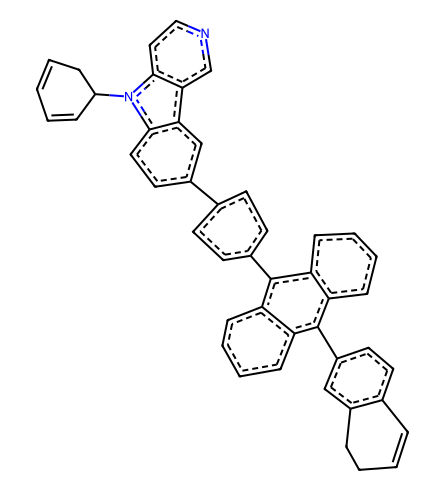 C1=CCC(n2c3ccncc3c3cc(-c4ccc(-c5c6ccccc6c(-c6ccc7c(c6)CCC=C7)c6ccccc56)cc4)ccc32)C=C1